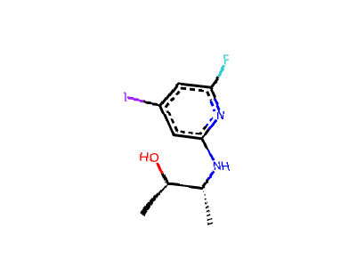 C[C@@H](O)[C@@H](C)Nc1cc(I)cc(F)n1